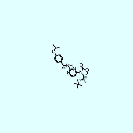 CC(C)Oc1ccc([C@H](C)Nc2nccc(N3C(=O)OC[C@@H]3[C@@H](C)OC(C)(C)C)n2)cc1